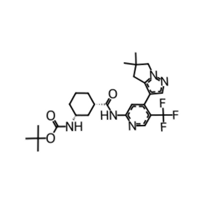 CC1(C)Cc2c(-c3cc(NC(=O)[C@H]4CCC[C@@H](NC(=O)OC(C)(C)C)C4)ncc3C(F)(F)F)cnn2C1